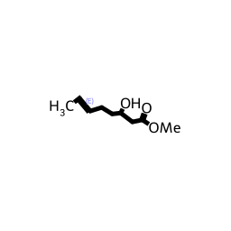 C/C=C/CCC(O)CC(=O)OC